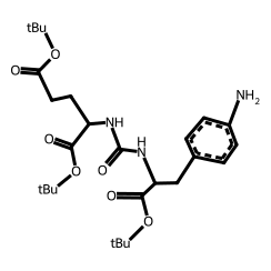 CC(C)(C)OC(=O)CCC(NC(=O)NC(Cc1ccc(N)cc1)C(=O)OC(C)(C)C)C(=O)OC(C)(C)C